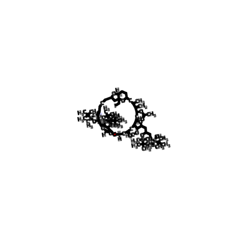 C=C1C(C)CC2CC[C@@H]3OC(CCC/C=C/C(O[Si](C)(C)C(C)(C)C)C4O[C@H]5CC[C@H](CC(=O)CC6[C@@H](OC)C(CC(CO[Si](C)(C)C(C)(C)C)O[Si](C)(C)C(C)(C)C)O[C@H]6CC1OC(C)=O)OC5C(O[Si](C)(C)C(C)(C)C)C4O[Si](C)(C)C(C)(C)C)CC3(CI)O2